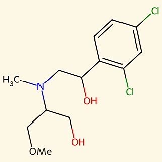 COCC(CO)N(C)CC(O)c1ccc(Cl)cc1Cl